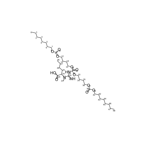 CCCCCCCCOC(=O)OCCCCOP(=O)(NC(=N)N(C)C(CCCC)C(=O)O)OCCCCOC(=O)OCCCCCCCC